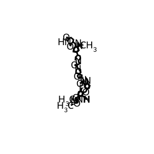 CCN(C)S(=O)(=O)Nc1ccc(F)c(Oc2ccc3ncn([C@H]4COC5(CCN(C(=O)CN6CCC(c7ccc8c(C9CCC(=O)NC9=O)nn(C)c8c7)CC6)CC5)C4)c(=O)c3c2)c1C#N